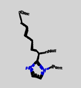 CCCCCCCCCCCCCCCC(CCCCCCCCC)c1[nH]cc[n+]1C(C)CCC